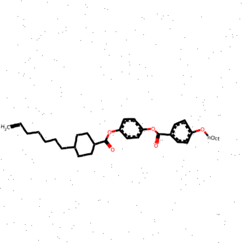 C=CCCCCCC1CCC(C(=O)Oc2ccc(OC(=O)c3ccc(OCCCCCCCC)cc3)cc2)CC1